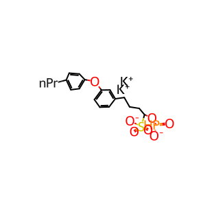 CCCc1ccc(Oc2cccc(CCCC(O[PH](=O)[O-])S(=O)(=O)[O-])c2)cc1.[K+].[K+]